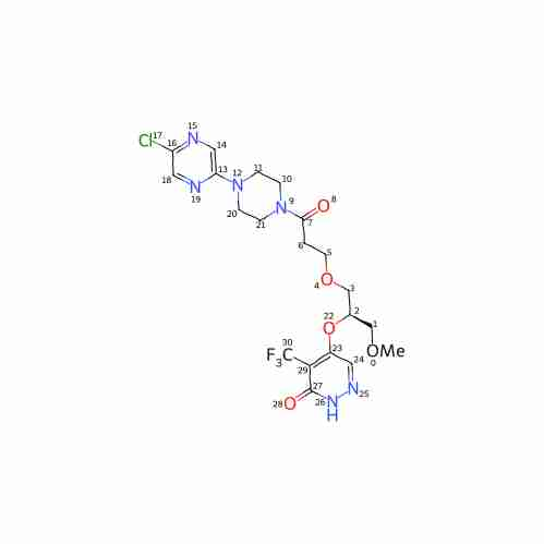 COC[C@H](COCCC(=O)N1CCN(c2cnc(Cl)cn2)CC1)Oc1cn[nH]c(=O)c1C(F)(F)F